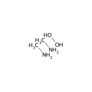 CN.CN.OO